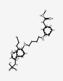 CCCc1c(OCCCCOc2cccc(CC(=O)OC)c2)ccc2c(CC(C)(C)C)coc12